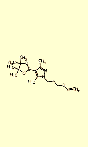 C=COCCCn1nc(C)c(B2OC(C)(C)C(C)(C)O2)c1C